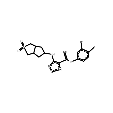 N=C(Nc1ccc(F)c(Br)c1)c1nonc1NC1CC2CS(=O)(=O)CC2C1